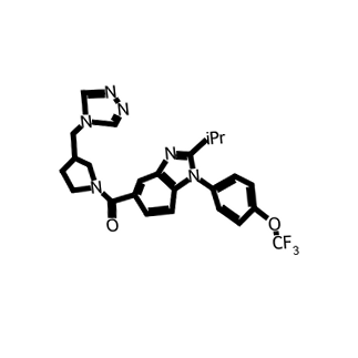 CC(C)c1nc2cc(C(=O)N3CCC(Cn4cnnc4)C3)ccc2n1-c1ccc(OC(F)(F)F)cc1